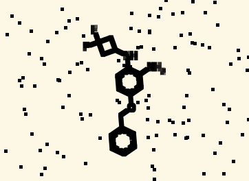 Nc1cc(OCc2ccccc2)ccc1NC1CC(F)(F)C1